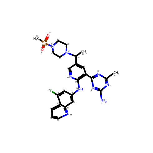 Cc1nc(N)nc(-c2cc(C(C)N3CCN(S(C)(=O)=O)CC3)cnc2Nc2cc(F)c3cccnc3c2)n1